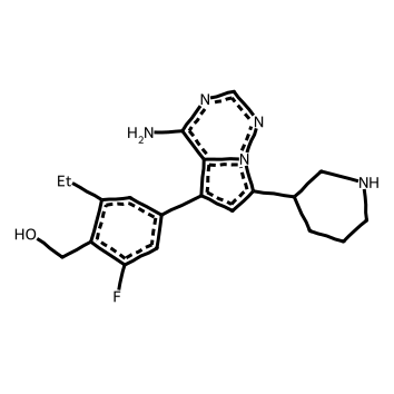 CCc1cc(-c2cc(C3CCCNC3)n3ncnc(N)c23)cc(F)c1CO